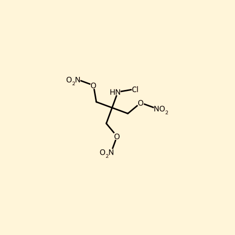 O=[N+]([O-])OCC(CO[N+](=O)[O-])(CO[N+](=O)[O-])NCl